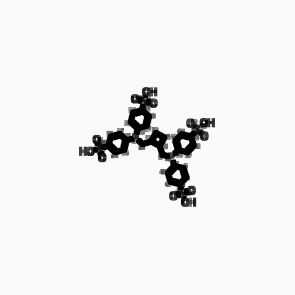 O=S(=O)(O)c1ccc(P(CC2CCC2CP(c2ccc(S(=O)(=O)O)cc2)c2ccc(S(=O)(=O)O)cc2)c2ccc(S(=O)(=O)O)cc2)cc1